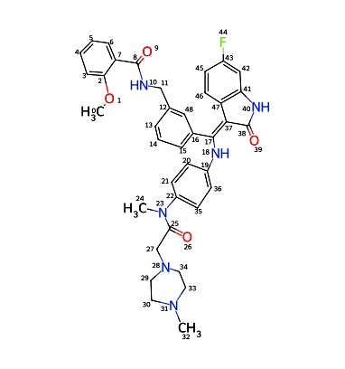 COc1ccccc1C(=O)NCc1cccc(/C(Nc2ccc(N(C)C(=O)CN3CCN(C)CC3)cc2)=C2/C(=O)Nc3cc(F)ccc32)c1